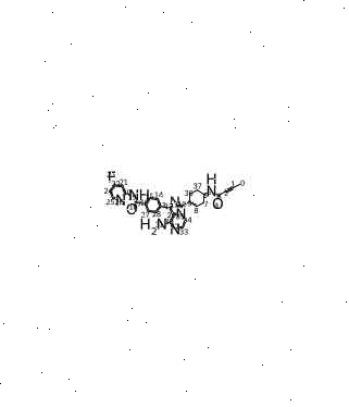 CC#CC(=O)NC1CC=C(c2nc(-c3ccc(C(=O)Nc4cc(F)ccn4)cc3)c3c(N)nccn23)CC1